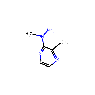 Cc1nccnc1N(C)N